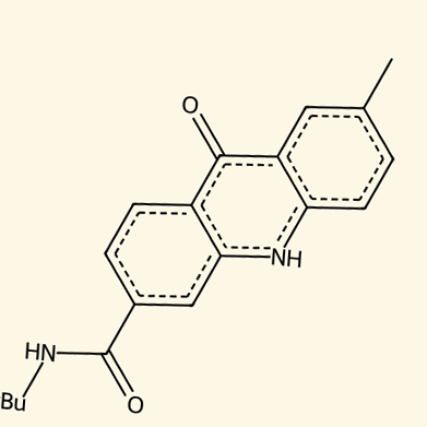 Cc1ccc2[nH]c3cc(C(=O)NC(C)(C)C)ccc3c(=O)c2c1